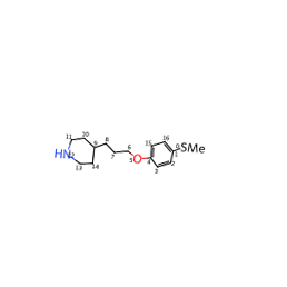 CSc1ccc(OCCCC2CCNCC2)cc1